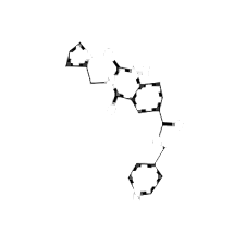 O=C(OCc1ccncc1)c1ccc2[nH]c(=O)n(Cc3cccs3)c(=O)c2c1